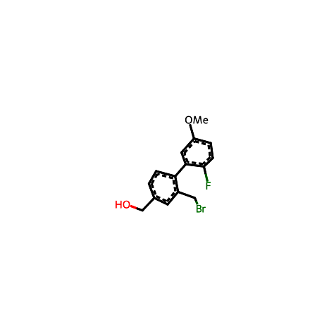 COc1ccc(F)c(-c2ccc(CO)cc2CBr)c1